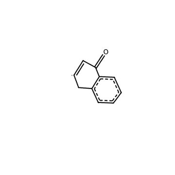 O=C1C=[C]Cc2ccccc21